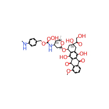 CNc1ccc(COC(=O)NC2C[C@H](OC3C[C@](O)(C(=O)CO)Cc4c(O)c5c(c(O)c43)C(=O)c3c(OC)cccc3C5=O)O[C@@H](C)[C@H]2O)cc1